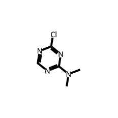 CN(C)c1ncnc(Cl)n1